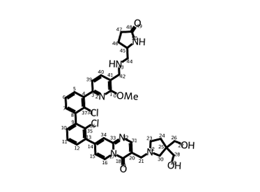 COc1nc(-c2cccc(-c3cccc(-c4ccn5c(=O)c(CN6CCC(CO)(CO)C6)cnc5c4)c3Cl)c2Cl)ccc1CNCC1CCC(=O)N1